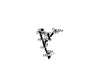 COC(=O)NCCCC[C@H](NC(=O)OC)C(=O)NCCC(=O)N(CC(=O)NCCCC[C@H](NC1CC1)C(N)=O)CC(=O)NCCCC[C@H](NC1CC1)C(N)=O